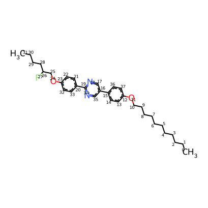 CCCCCCCCCCCOc1ccc(-c2cnc(-c3ccc(OCC(F)CCCC)cc3)nc2)cc1